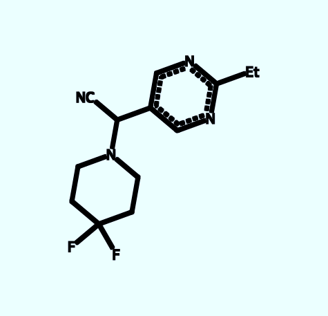 CCc1ncc(C(C#N)N2CCC(F)(F)CC2)cn1